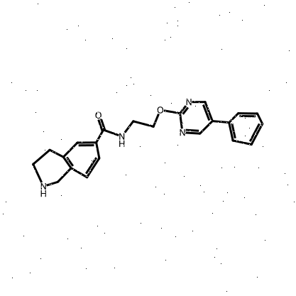 O=C(NCCOc1ncc(-c2ccccc2)cn1)c1ccc2c(c1)CCNC2